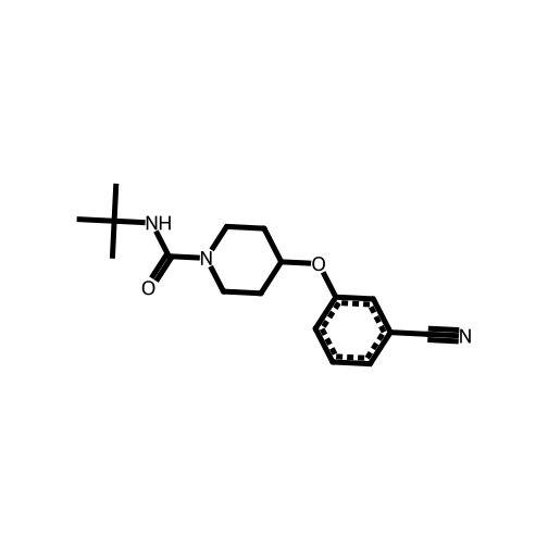 CC(C)(C)NC(=O)N1CCC(Oc2cccc(C#N)c2)CC1